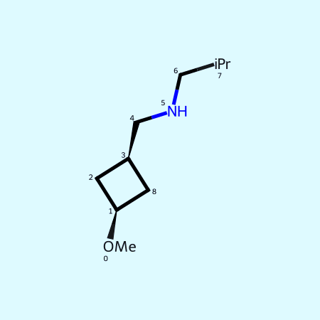 CO[C@H]1C[C@@H](CNCC(C)C)C1